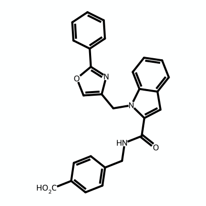 O=C(O)c1ccc(CNC(=O)c2cc3ccccc3n2Cc2coc(-c3ccccc3)n2)cc1